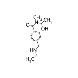 CCNCc1ccc(C(=O)N(C)C(C)O)cc1